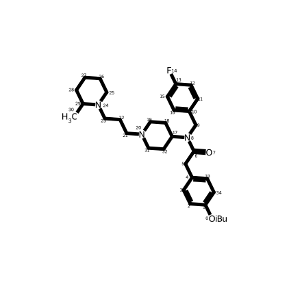 CC(C)COc1ccc(CC(=O)N(Cc2ccc(F)cc2)C2CCN(CCCN3CCCCC3C)CC2)cc1